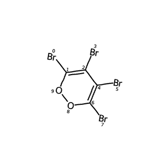 BrC1=C(Br)C(Br)=C(Br)OO1